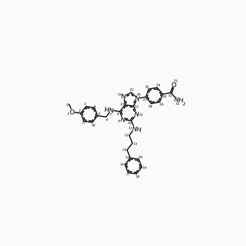 COc1ccc(CNc2nc(NCCCc3ccccc3)nc3c2ncn3-c2ccc(C(N)=O)cc2)cc1